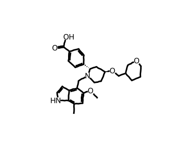 COc1cc(C)c2[nH]ccc2c1CN1CC[C@H](OCC2CCCOC2)C[C@H]1c1ccc(C(=O)O)cc1